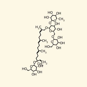 C=C[C@](C)(CC/C=C(\C)CC/C=C(\C)CC/C=C(/C)CO[C@@H]1O[C@H](CO[C@@H]2O[C@H](CO)[C@@H](O)[C@H](O)[C@H]2O)[C@@H](O)[C@H](O)[C@H]1O[C@@H]1O[C@@H](C)[C@H](O)[C@@H](O)[C@H]1O)O[C@@H]1O[C@H](CO)[C@@H](O)[C@H](O)[C@H]1O